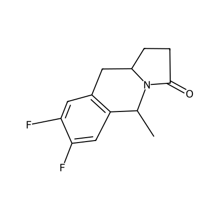 CC1c2cc(F)c(F)cc2CC2CCC(=O)N21